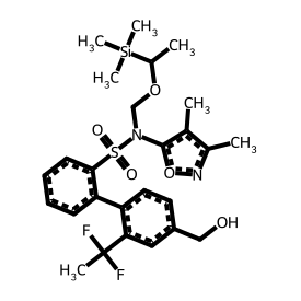 Cc1noc(N(COC(C)[Si](C)(C)C)S(=O)(=O)c2ccccc2-c2ccc(CO)cc2C(C)(F)F)c1C